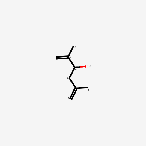 C=C(C)CC([O])C(=C)C